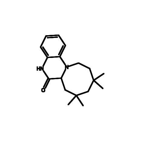 CC1(C)CCN2c3ccccc3NC(=O)C2CC(C)(C)C1